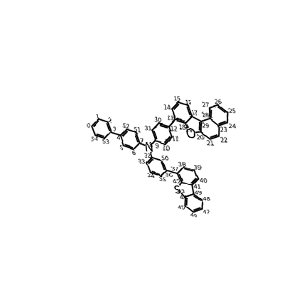 c1ccc(-c2ccc(N(c3ccc(-c4cccc5c4oc4ccc6ccccc6c45)cc3)c3cccc(-c4cccc5c4sc4ccccc45)c3)cc2)cc1